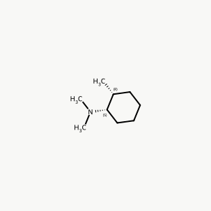 C[C@@H]1CCCC[C@@H]1N(C)C